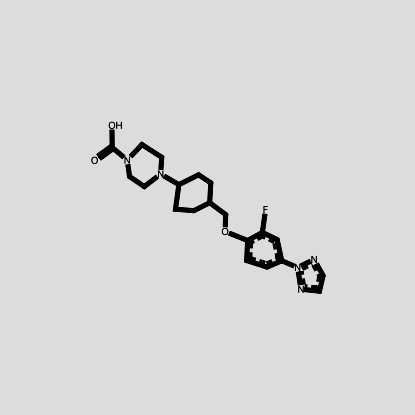 O=C(O)N1CCN(C2CCC(COc3ccc(-n4nccn4)cc3F)CC2)CC1